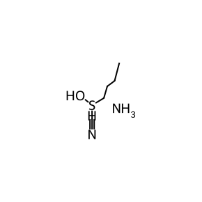 CCCC[SH](O)C#N.N